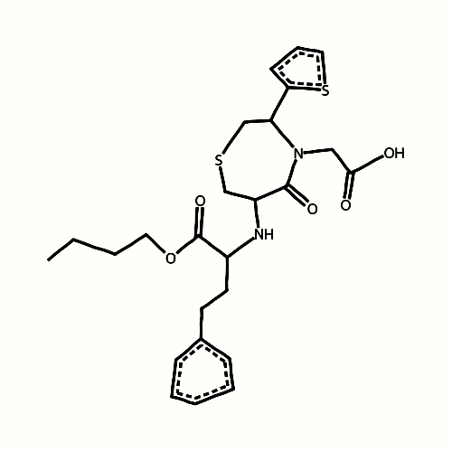 CCCCOC(=O)C(CCc1ccccc1)NC1CSCC(c2cccs2)N(CC(=O)O)C1=O